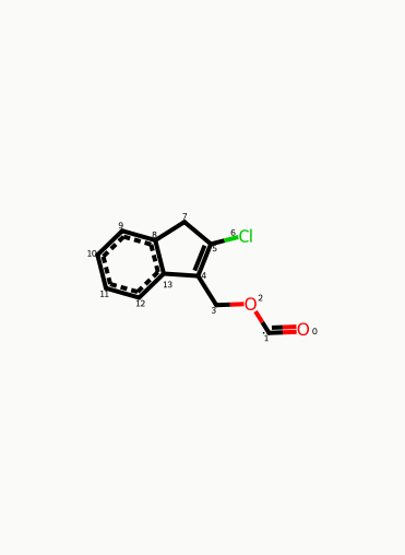 O=[C]OCC1=C(Cl)Cc2ccccc21